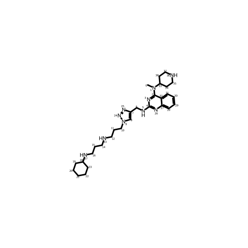 CN(c1nc(NCc2cn(CCCNCCCNC3CCCCC3)nn2)nc2ccccc12)C1CCNCC1